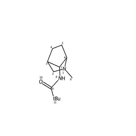 CN1CC2CCC1C2NC(=O)C(C)(C)C